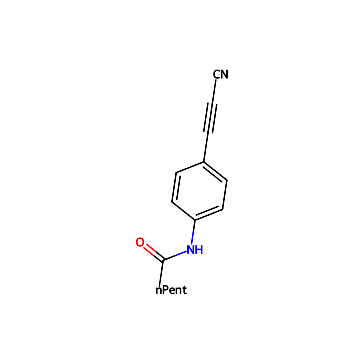 CCCCCC(=O)Nc1ccc(C#CC#N)cc1